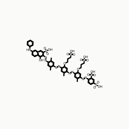 Cc1cc(N=Nc2c(S(=O)(=O)O)cc3cc(Nc4ccccc4)ccc3c2O)c(C)cc1N=Nc1cc(C)c(N=Nc2cc(C)c(N=Nc3ccc(S(=O)(=O)O)cc3S(=O)(=O)O)cc2OCCCS(=O)(=O)O)cc1OCCCS(=O)(=O)O